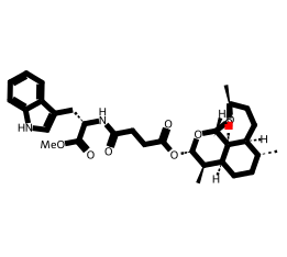 COC(=O)[C@H](Cc1c[nH]c2ccccc12)NC(=O)CCC(=O)O[C@@H]1O[C@@H]2O[C@@]3(C)CC[C@H]4[C@H](C)CC[C@@H]([C@H]1C)[C@@]24OO3